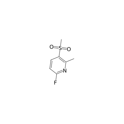 Cc1nc(F)ccc1S(C)(=O)=O